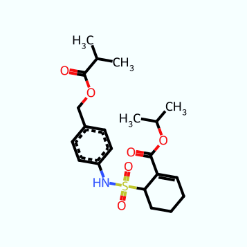 CC(C)OC(=O)C1=CCCCC1S(=O)(=O)Nc1ccc(COC(=O)C(C)C)cc1